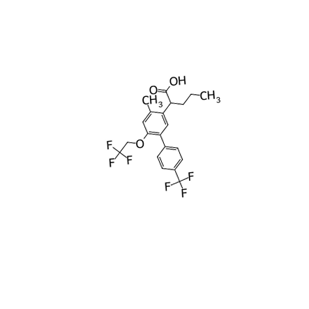 CCCC(C(=O)O)c1cc(-c2ccc(C(F)(F)F)cc2)c(OCC(F)(F)F)cc1C